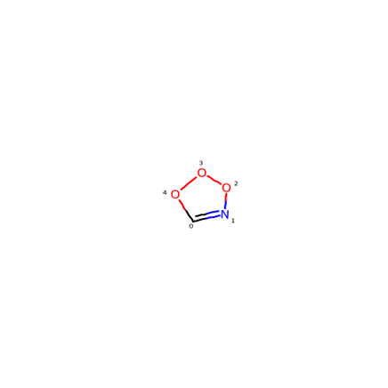 C1=NOOO1